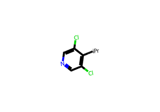 CC(C)c1c(Cl)cncc1Cl